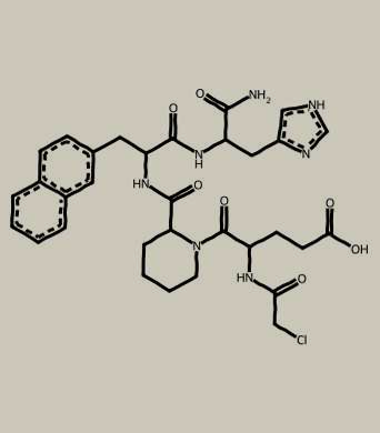 NC(=O)C(Cc1c[nH]cn1)NC(=O)C(Cc1ccc2ccccc2c1)NC(=O)C1CCCCN1C(=O)C(CCC(=O)O)NC(=O)CCl